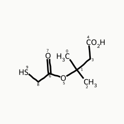 CC(C)(CC(=O)O)OC(=O)CS